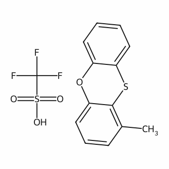 Cc1cccc2c1Sc1ccccc1O2.O=S(=O)(O)C(F)(F)F